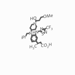 COCCC(O)N1CCC(N(CC(C)C)c2ccc([C@H](C)CC(=O)O)cc2Nc2nc(C(F)(F)F)ns2)CC1